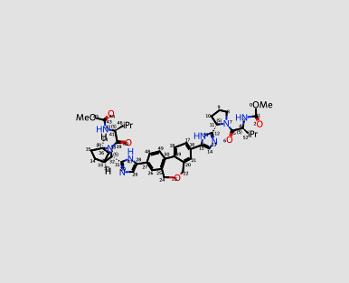 COC(=O)N[C@H](C(=O)N1CCC[C@H]1c1ncc(-c2ccc3c(c2)COCc2cc(-c4cnc([C@@H]5[C@H]6CC[C@H](C6)N5C(=O)[C@@H](NC(=O)OC)C(C)C)[nH]4)ccc2-3)[nH]1)C(C)C